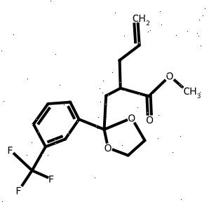 C=CCC(CC1(c2cccc(C(F)(F)F)c2)OCCO1)C(=O)OC